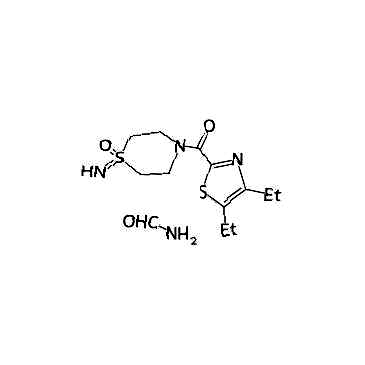 CCc1nc(C(=O)N2CCS(=N)(=O)CC2)sc1CC.NC=O